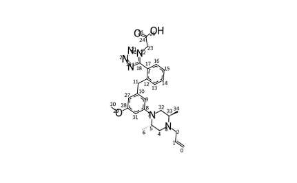 C=CCN1C[C@H](C)N(c2cc(Cc3ccccc3-c3nnnn3CC(=O)O)cc(OC)c2)C[C@H]1C